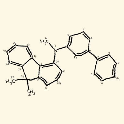 CN(c1cccc(-c2ccccc2)c1)c1cccc2c1-c1ccccc1C2(C)C